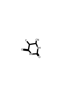 N#CC1NC(=O)NC(=O)C1F